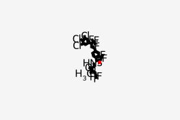 CN(CC(F)(F)F)C(=O)CNC(=S)c1ccc(/C(F)=C/C(c2cc(Cl)c(Cl)c(Cl)c2)C(F)(F)F)cc1C(F)(F)F